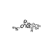 CCN(CC)CCc1ccc(Nc2ncnc3c2c(-c2ccccc2)cn3[C@@H]2O[C@@H](CO)[C@@H](O)[C@H]2O)cc1